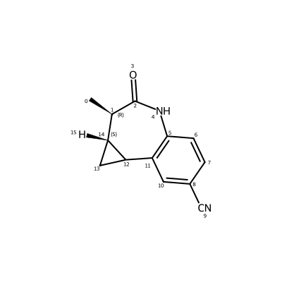 C[C@H]1C(=O)Nc2ccc(C#N)cc2C2C[C@@H]21